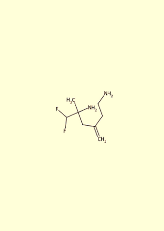 C=C(CCN)CC(C)(N)C(F)F